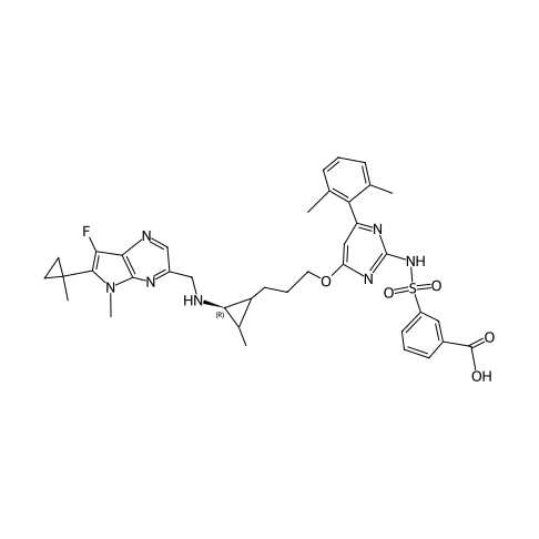 Cc1cccc(C)c1-c1cc(OCCCC2C(C)[C@H]2NCc2cnc3c(F)c(C4(C)CC4)n(C)c3n2)nc(NS(=O)(=O)c2cccc(C(=O)O)c2)n1